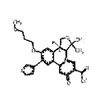 COCCCOc1cc2c(cc1-c1ccsc1)-c1cc(=O)c(C(=O)O)cn1C1[C@@H]2COC1(C)C